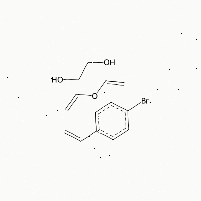 C=COC=C.C=Cc1ccc(Br)cc1.OCCO